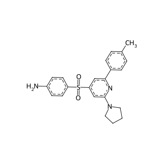 Cc1ccc(-c2cc(S(=O)(=O)c3ccc(N)cc3)cc(N3CCCC3)n2)cc1